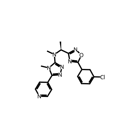 C[C@@H](c1noc(C2C=CC=C(Cl)C2)n1)N(C)c1nnc(-c2ccncc2)n1C